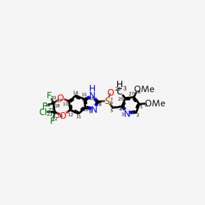 COc1cnc(C[S+]([O-])c2nc3cc4c(cc3[nH]2)OC(F)(F)C(F)(Cl)O4)c(C)c1OC